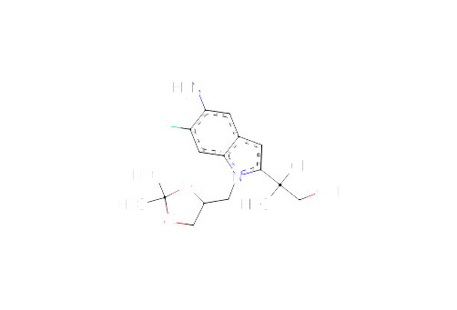 CC1(C)OCC(Cn2c(C(C)(C)CO)cc3cc(N)c(F)cc32)O1